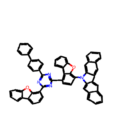 c1ccc(-c2ccc(-c3nc(-c4cccc5c4oc4ccccc45)nc(-c4ccc(-n5c6cc7ccccc7cc6c6cc7ccccc7cc65)c5oc6ccccc6c45)n3)cc2)cc1